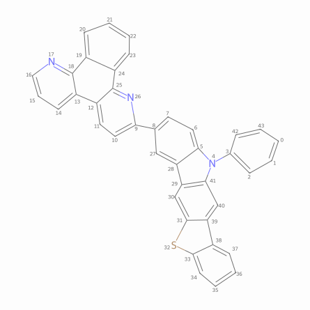 c1ccc(-n2c3ccc(-c4ccc5c6cccnc6c6ccccc6c5n4)cc3c3cc4sc5ccccc5c4cc32)cc1